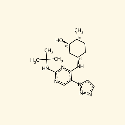 C[C@@H]1CC[C@@H](Nc2nc(NC(C)(C)C)ncc2-n2ccnn2)C[C@H]1O